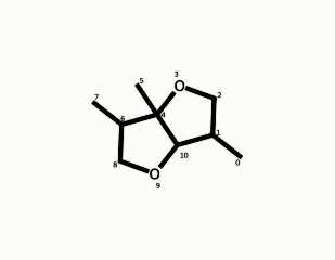 CC1COC2(C)C(C)COC12